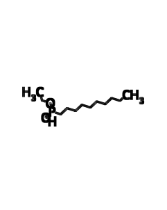 CCCCCCCCCC[PH](=O)OCC